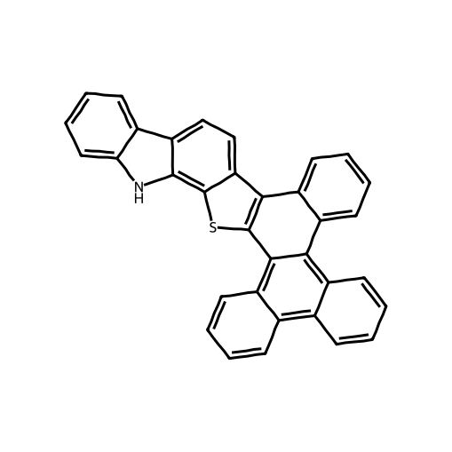 c1ccc2c(c1)[nH]c1c2ccc2c1sc1c2c2ccccc2c2c3ccccc3c3ccccc3c12